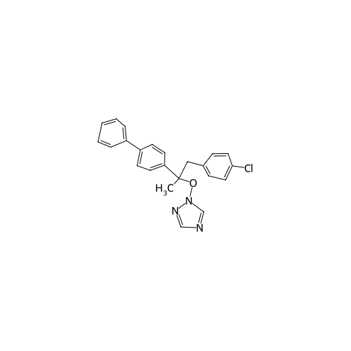 CC(Cc1ccc(Cl)cc1)(On1cncn1)c1ccc(-c2ccccc2)cc1